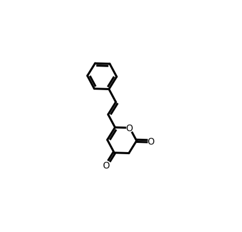 O=C1C=C(C=Cc2ccccc2)OC(=O)C1